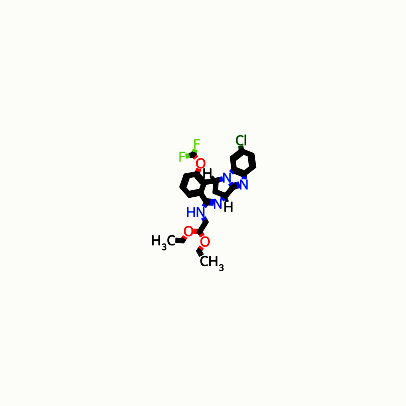 CCOC(CNC1=N[C@@H]2C[C@H](c3c(OC(F)F)cccc31)n1c2nc2ccc(Cl)cc21)OCC